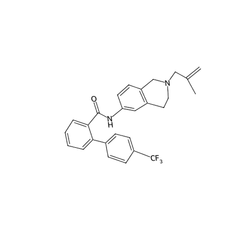 C=C(C)CN1CCc2cc(NC(=O)c3ccccc3-c3ccc(C(F)(F)F)cc3)ccc2C1